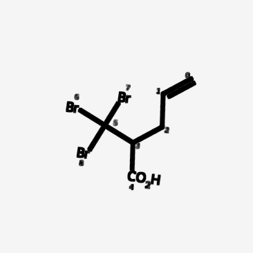 C=CCC(C(=O)O)C(Br)(Br)Br